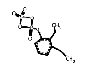 CCc1cccc(OP2(=O)OS(=O)(=O)O2)c1CC